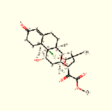 CCCCOC(=O)C(=O)[C@@]12CC[C@@]3(OC(C)O1)[C@@H]1CCC4=CC(=O)CC[C@]4(C)[C@@]1(Cl)[C@@H](O)C[C@]23C